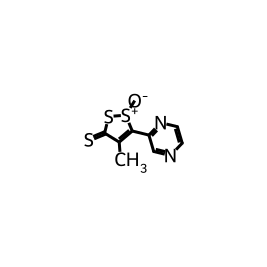 Cc1c(-c2cnccn2)[s+]([O-])sc1=S